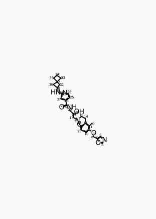 Cc1c(OCc2cnco2)ccc2c1CCN(C[C@@H](O)CNC(=O)c1ccnc(NC3CC4(CCC4)C3)c1)C2